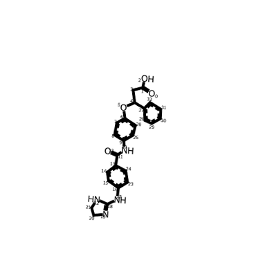 O=C(O)CC(Oc1ccc(NC(=O)c2ccc(NC3=NCCN3)cc2)cc1)c1ccccc1